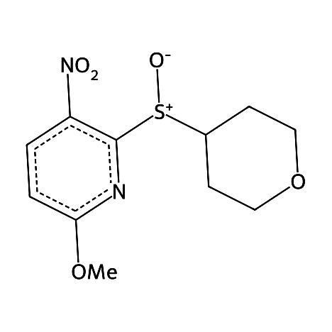 COc1ccc([N+](=O)[O-])c([S+]([O-])C2CCOCC2)n1